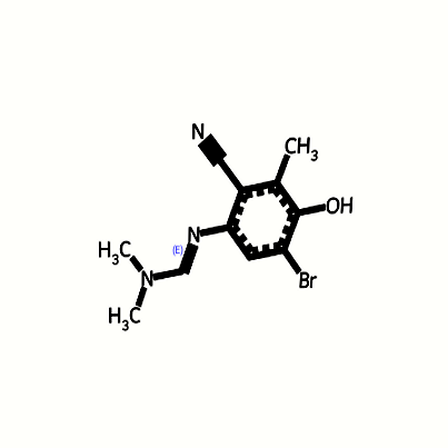 Cc1c(O)c(Br)cc(/N=C/N(C)C)c1C#N